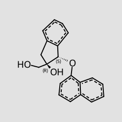 OC[C@]1(O)Cc2ccccc2[C@@H]1Oc1cccc2ccccc12